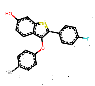 CCc1ccc(Oc2c(-c3ccc(F)cc3)sc3cc(O)ccc23)cc1